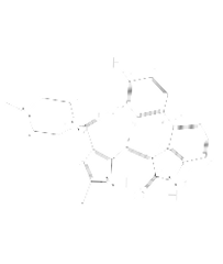 Cc1cc(C(=O)N2CCN(C)CC2)c(/C=C2\C(=O)Nc3cccc(-c4ccc(F)cc4)c32)[nH]1